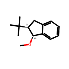 CO[C@@H]1c2ccccc2C[C@@H]1C(C)(C)C